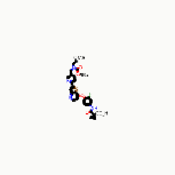 COCCN(Cc1ccc(-c2cc3nccc(Oc4ccc(NC(=O)C5(C(=O)O)CC5)cc4F)c3s2)nc1)C(=O)OC(C)(C)C